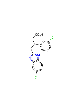 O=C(O)CC(Cc1nc2cc(Cl)ccc2[nH]1)c1cccc(Cl)c1